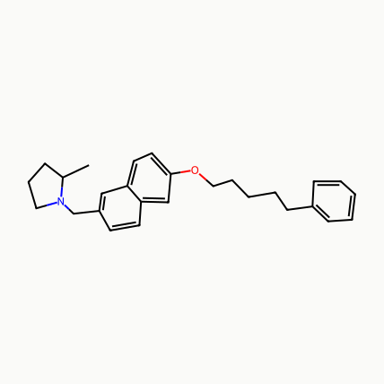 CC1CCCN1Cc1ccc2cc(OCCCCCc3ccccc3)ccc2c1